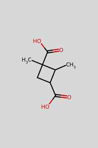 CC1C(C(=O)O)CC1(C)C(=O)O